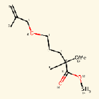 C=C(C)COCCCC(C)(OC)C(=O)O[SiH3]